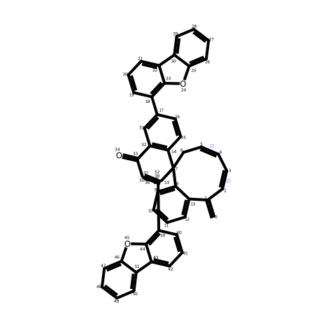 C=C1/C=C\C=C/CC2(c3ccccc31)c1ccc(-c3cccc4c3oc3ccccc34)cc1C(=O)c1ccc(-c3cccc4c3oc3ccccc34)cc12